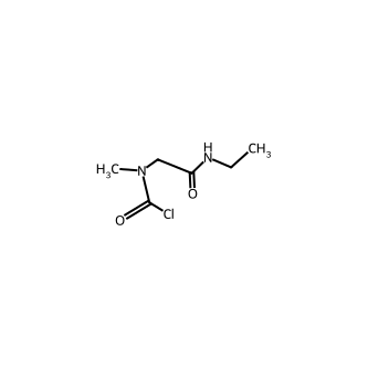 CCNC(=O)CN(C)C(=O)Cl